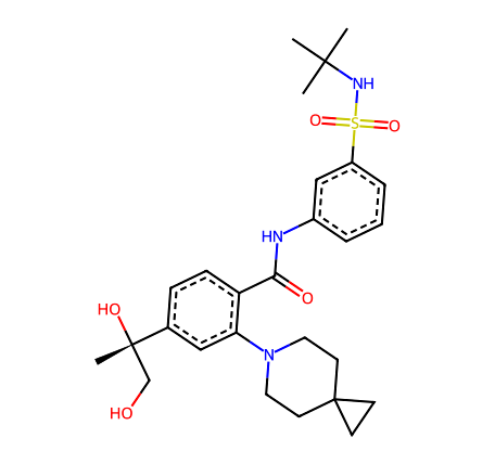 CC(C)(C)NS(=O)(=O)c1cccc(NC(=O)c2ccc([C@@](C)(O)CO)cc2N2CCC3(CC2)CC3)c1